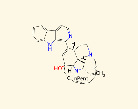 C=C[C@H]1C[C@]23C[N@@]4CCCC/C=C\CC[C@](O)(C=C(c5nccc6c5[nH]c5ccccc56)[C@@H]2CC4)[C@@H]3N1CCCCC